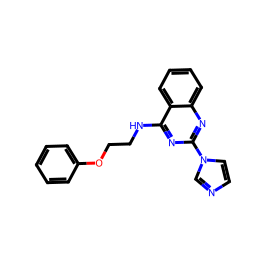 c1ccc(OCCNc2nc(-n3ccnc3)nc3ccccc23)cc1